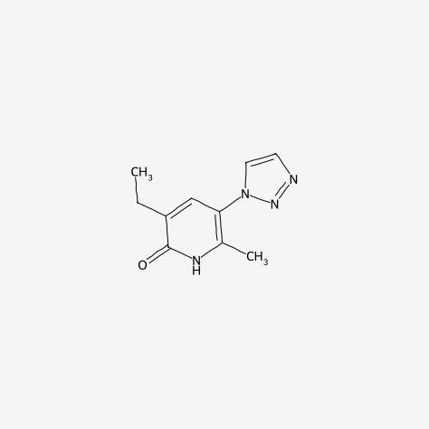 CCc1cc(-n2ccnn2)c(C)[nH]c1=O